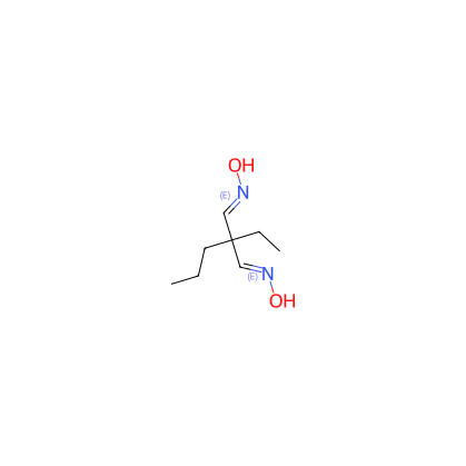 CCCC(/C=N/O)(/C=N/O)CC